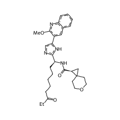 CCC(=O)CCCCC[C@H](NC(=O)[C@H]1CC12CCOCC2)c1ncc(-c2cc3ccccc3nc2OC)[nH]1